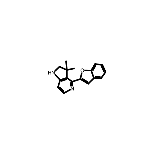 CC1(C)CNc2ccnc(-c3cc4ccccc4o3)c21